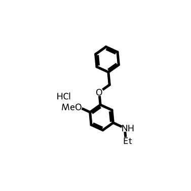 CCNc1ccc(OC)c(OCc2ccccc2)c1.Cl